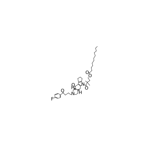 CCCCCCCCCCCC(=O)OCCC(C)(C)C(=O)n1c2c(c3c1C[C@H]1CCN(CCCC(=O)c4ccc(F)cc4)C[C@@H]1C3=O)CCC2